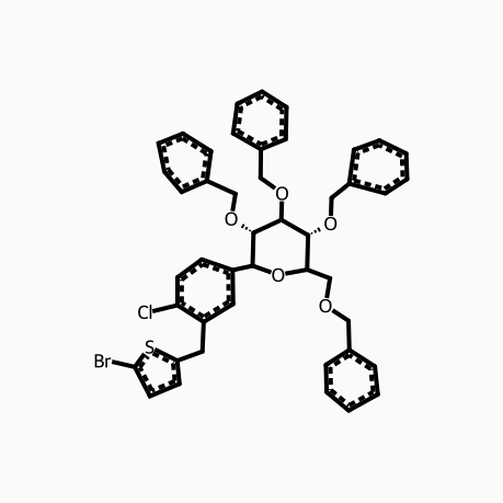 Clc1ccc(C2OC(COCc3ccccc3)[C@@H](OCc3ccccc3)C(OCc3ccccc3)[C@H]2OCc2ccccc2)cc1Cc1ccc(Br)s1